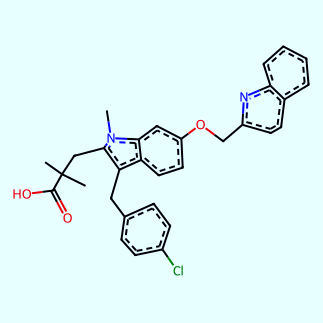 Cn1c(CC(C)(C)C(=O)O)c(Cc2ccc(Cl)cc2)c2ccc(OCc3ccc4ccccc4n3)cc21